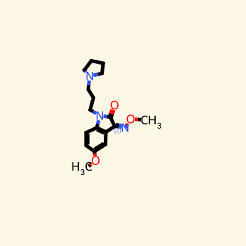 CO/N=C1\C(=O)N(CCCN2CCCC2)c2ccc(OC)cc21